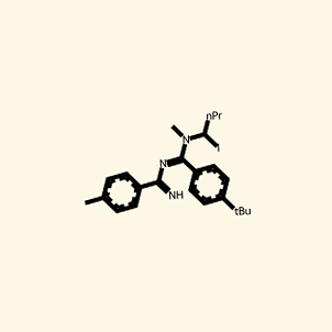 CCCC(I)N(C)/C(=N/C(=N)c1ccc(C)cc1)c1ccc(C(C)(C)C)cc1